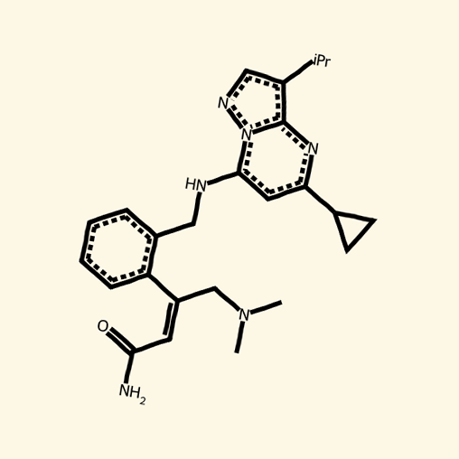 CC(C)c1cnn2c(NCc3ccccc3C(=CC(N)=O)CN(C)C)cc(C3CC3)nc12